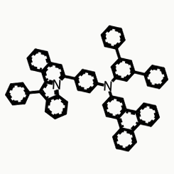 c1ccc(-c2cc(-c3ccccc3)cc(N(c3ccc(-c4cc5ccccc5c5c(-c6ccccc6)c6ccccc6n45)cc3)c3ccc4c5ccccc5c5ccccc5c4c3)c2)cc1